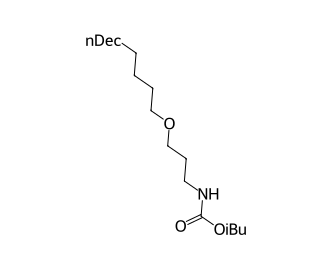 CCCCCCCCCCCCCCOCCCNC(=O)OCC(C)C